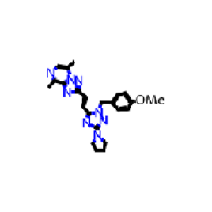 COc1ccc(Cn2nc(N3CCCC3)nc2C=Cc2nc3c(C)ncc(C)n3n2)cc1